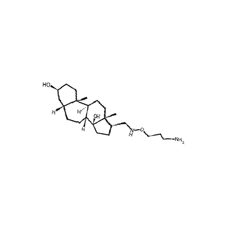 C[C@]12CC[C@H](O)C[C@H]1CC[C@@H]1[C@@H]2CC[C@]2(C)[C@@H](CNOCCCN)CC[C@]12O